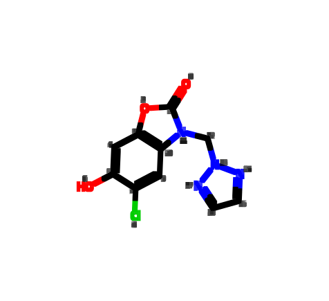 O=c1oc2cc(O)c(Cl)cc2n1Cn1nccn1